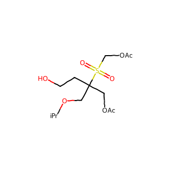 CC(=O)OCC(CCO)(COC(C)C)S(=O)(=O)COC(C)=O